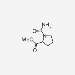 COC(=O)C1CCCN1C(N)=O